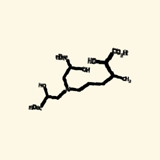 CCCCCCCCCCC(O)CN(CCCC(C)C(O)C(=O)OCC)CC(O)CCCCCCCCCC